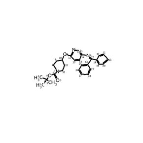 CC(C)(C)OC(=O)N1CCC(Oc2ccc(N=C(c3ccccc3)c3ccccc3)nn2)CC1